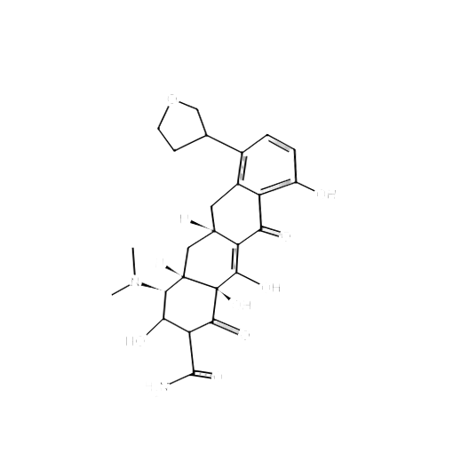 CN(C)[C@@H]1C(O)C(C(N)=O)C(=O)[C@@]2(O)C(O)=C3C(=O)c4c(O)ccc(C5CCOC5)c4C[C@H]3C[C@@H]12